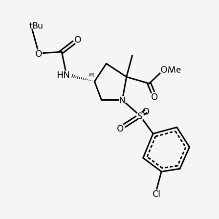 COC(=O)C1(C)C[C@@H](NC(=O)OC(C)(C)C)CN1S(=O)(=O)c1cccc(Cl)c1